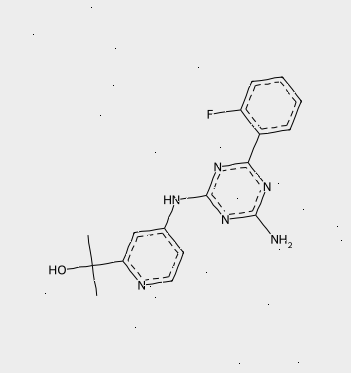 CC(C)(O)c1cc(Nc2nc(N)nc(-c3ccccc3F)n2)ccn1